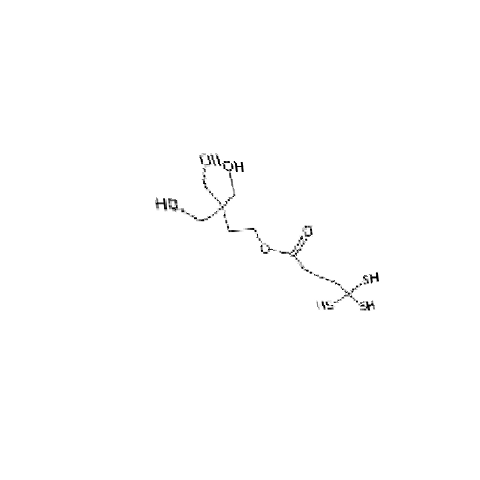 O=C(CCC(S)(S)S)OCCC(CO)(CO)CO